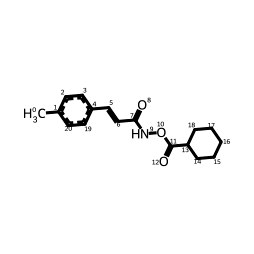 Cc1ccc(C=CC(=O)NOC(=O)C2CCCCC2)cc1